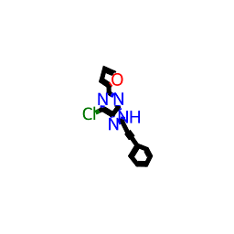 Clc1nc(-c2ccco2)nc2[nH]c(C#Cc3ccccc3)nc12